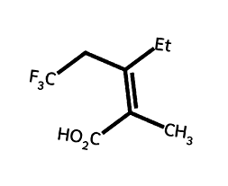 CCC(CC(F)(F)F)=C(C)C(=O)O